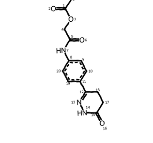 CC(=O)OCC(=O)Nc1ccc(C2=NNC(=O)CC2)cc1